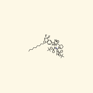 CCCCCCCCCOc1ccc(C2=NOC(C3CCCN3/C(=N/C(=O)OC(C)(C)C)NC(=O)OC(C)(C)C)N2)cc1C(F)(F)F